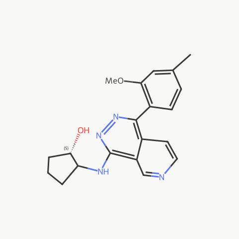 COc1cc(C)ccc1-c1nnc(NC2CCC[C@@H]2O)c2cnccc12